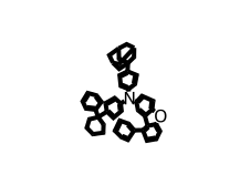 c1ccc(-c2cccc3oc4ccc(N(c5ccc(C67CC8CC(CC(C8)C6)C7)cc5)c5ccc(C6(c7ccccc7)CCCCC6)cc5)cc4c23)cc1